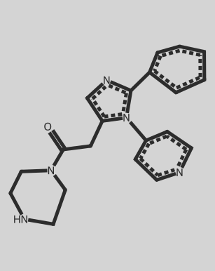 O=C(Cc1cnc(-c2ccccc2)n1-c1ccncc1)N1CCNCC1